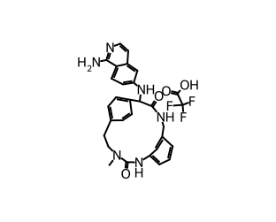 CN1CCc2ccc(cc2)C(Nc2ccc3c(N)nccc3c2)C(=O)NCc2cccc(c2)NC1=O.O=C(O)C(F)(F)F